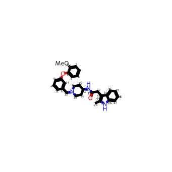 COc1ccccc1Oc1cccc(CN2CCC(NC(=O)Cc3c(C)[nH]c4ccccc34)CC2)c1